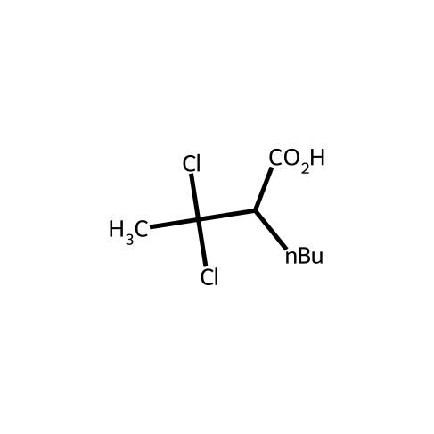 CCCCC(C(=O)O)C(C)(Cl)Cl